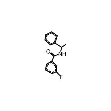 CC(NC(=O)c1cccc(F)c1)c1ccccc1